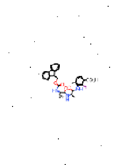 Cc1ccc(C(=O)O)c(I)c1NC(=O)C(C)NC(=O)C(NC(=O)OCC1c2ccccc2-c2ccccc21)C(C)C